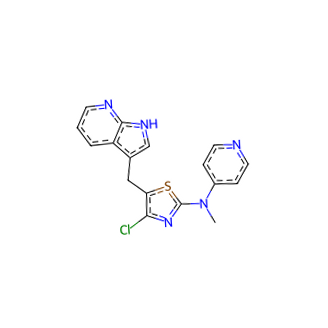 CN(c1ccncc1)c1nc(Cl)c(Cc2c[nH]c3ncccc23)s1